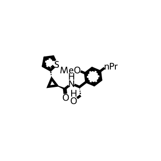 CCCc1ccc([C@H](CO)NC(=O)[C@H]2C[C@@H]2c2cccs2)c(OC)c1